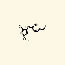 Cn1cc(NC(=N)/N=C\CCF)c(Cl)n1